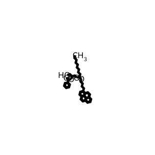 CCCCCCCCCC(OCCCCc1ccc2ccc3cccc4ccc1c2c34)OCC(CO)OC(=O)c1ccccc1